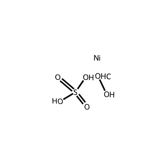 O=CO.O=S(=O)(O)O.[Ni]